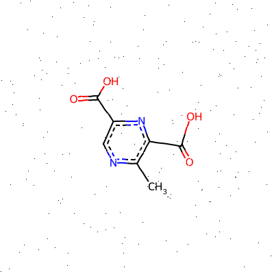 Cc1ncc(C(=O)O)nc1C(=O)O